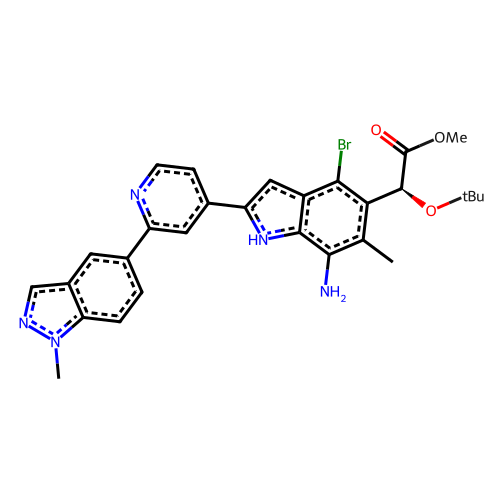 COC(=O)[C@@H](OC(C)(C)C)c1c(C)c(N)c2[nH]c(-c3ccnc(-c4ccc5c(cnn5C)c4)c3)cc2c1Br